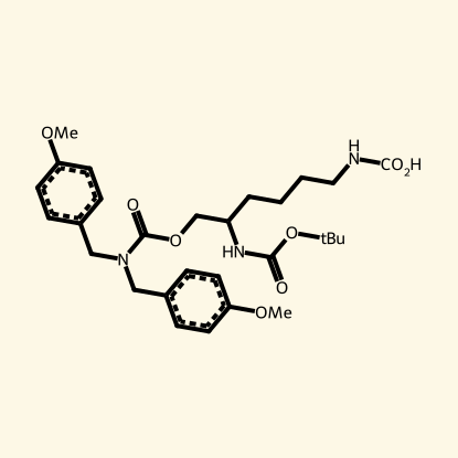 COc1ccc(CN(Cc2ccc(OC)cc2)C(=O)OCC(CCCCNC(=O)O)NC(=O)OC(C)(C)C)cc1